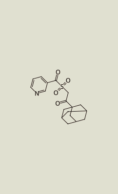 O=C(CS(=O)(=O)C(=O)c1cccnc1)C12CC3CC(CC(C3)C1)C2